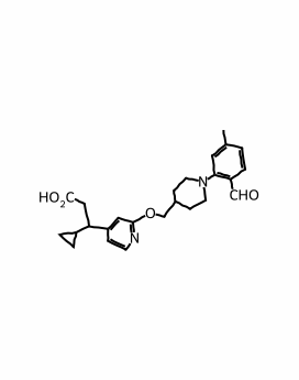 Cc1ccc(C=O)c(N2CCC(COc3cc(C(CC(=O)O)C4CC4)ccn3)CC2)c1